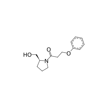 O=C(CCOc1ccccc1)N1CCC[C@H]1CO